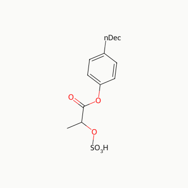 CCCCCCCCCCc1ccc(OC(=O)C(C)OS(=O)(=O)O)cc1